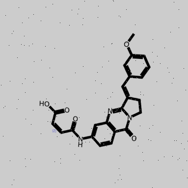 COc1cccc(C=C2CCn3c2nc2cc(NC(=O)/C=C\C(=O)O)ccc2c3=O)c1